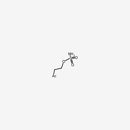 CC(=O)CCOS(N)(=O)=O